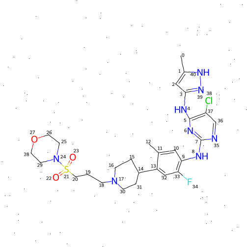 Cc1cc(Nc2nc(Nc3cc(C)c(C4CCN(CCCS(=O)(=O)N5CCOCC5)CC4)cc3F)ncc2Cl)n[nH]1